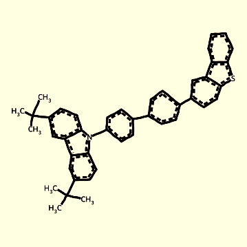 CC(C)(C)c1ccc2c(c1)c1cc(C(C)(C)C)ccc1n2-c1ccc(-c2ccc(-c3ccc4sc5ccccc5c4c3)cc2)cc1